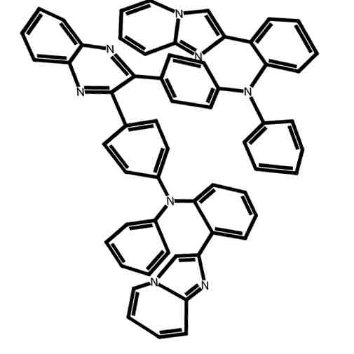 c1ccc(N(c2ccc(-c3nc4ccccc4nc3-c3ccc(N(c4ccccc4)c4ccccc4-c4cn5ccccc5n4)cc3)cc2)c2ccccc2-c2cn3ccccc3n2)cc1